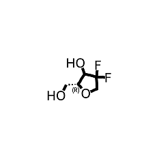 OC[C@H]1OCC(F)(F)C1O